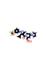 Cc1nn(-c2cccc(OC(F)(F)F)c2)c(C2CC2)c1C(=O)N1CCC(N2CCCC2)CC1CO